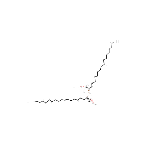 CCCCCCCCCCCCCCCCCC(SSC(CCCCCCCCCCCCCCCCC)[Si](C)(C)OC)[Si](C)(C)OC